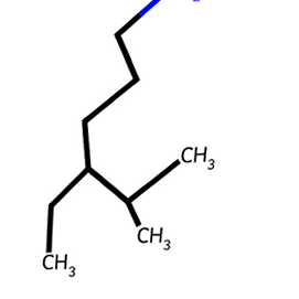 CCC(CCCN)C(C)C